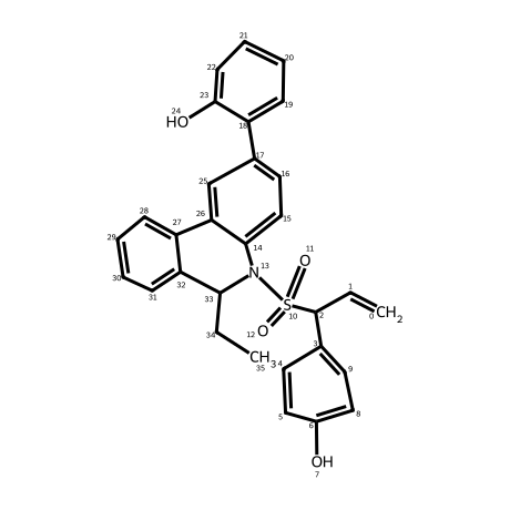 C=CC(c1ccc(O)cc1)S(=O)(=O)N1c2ccc(-c3ccccc3O)cc2-c2ccccc2C1CC